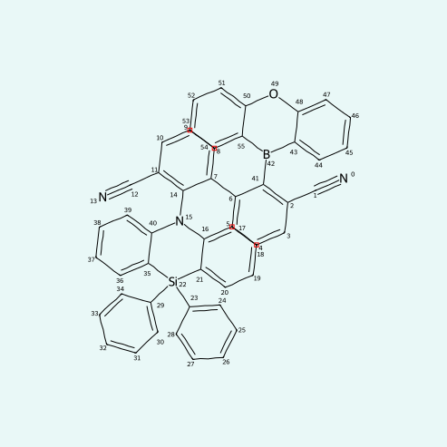 N#Cc1cccc(-c2cccc(C#N)c2N2c3ccccc3[Si](c3ccccc3)(c3ccccc3)c3ccccc32)c1B1c2ccccc2Oc2ccccc21